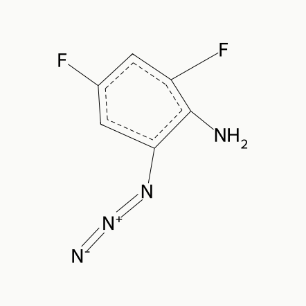 [N-]=[N+]=Nc1cc(F)cc(F)c1N